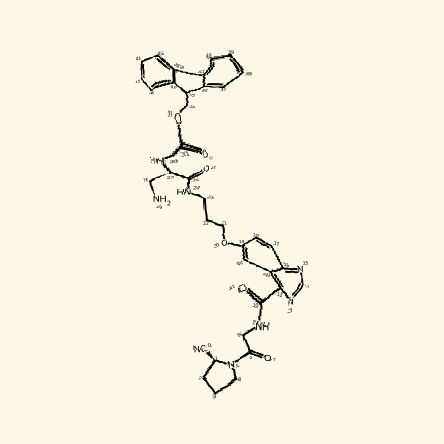 N#C[C@@H]1CCCN1C(=O)CNC(=O)c1ncnc2ccc(OCCCNC(=O)[C@@H](CN)NC(=O)OCC3c4ccccc4-c4ccccc43)cc12